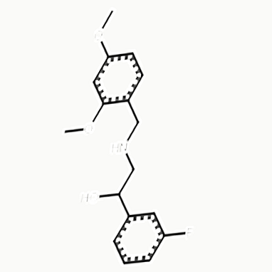 COc1ccc(CNCC(O)c2cccc(F)c2)c(OC)c1